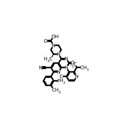 Cc1cccc(-c2nc3c(cc2C#N)c(N2CCN(C(=O)O)C[C@@H]2C)nc(=O)n3-c2c(C)ccnc2C(C)C)c1F